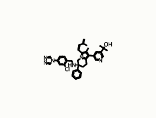 C=C(C)/C=C\c1c(C)c(-c2cncc(C(C)(C)O)c2)c2n1C[C@@](NCc1ccc(-n3cnnc3)cc1Cl)(c1ccccc1)CC2